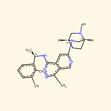 CCCN1C[C@H]2CC[C@@H]1CN2c1cc2c(N[C@H](C)c3cccc(C#N)c3C)nnc(C)c2cn1